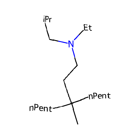 CCCCCC(C)(CCCCC)CCN(CC)CC(C)C